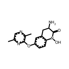 Cc1cnc(C)c(Oc2ccc3c(c2)CC(N)C(=O)N3O)n1